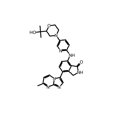 Cc1ccn2c(-c3ccc(Nc4ccc(N5CCOC(C(C)(C)O)C5)cn4)c4c3CNC4=O)cnc2n1